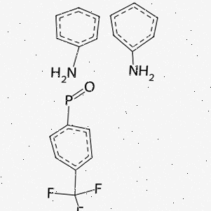 Nc1ccccc1.Nc1ccccc1.O=Pc1ccc(C(F)(F)F)cc1